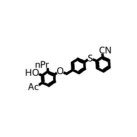 CCCc1c(OCc2ccc(Sc3ccccc3C#N)cc2)ccc(C(C)=O)c1O